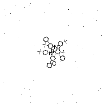 CC(C)(C)c1ccc(N2B3c4cc5c(cc4-n4c6ccc(C(C)(C)C)cc6c6c7c(c(c3c64)-c3cc4oc6ccccc6c4cc32)-c2ccccc2C7(C)C)-c2ccccc2C5(C)C)cc1